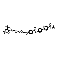 CC(C)OC(=O)c1cnc(-c2ccc(OC(=O)c3ccc(OCCOCCOCCOC(=O)C(CC(C)(C)C)C(C)(C)C)cc3)cc2)nc1